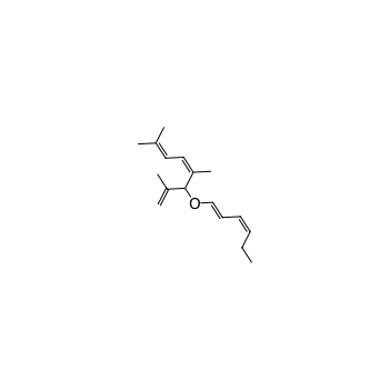 C=C(C)C(O/C=C/C=C\CC)/C(C)=C\C=C(C)C